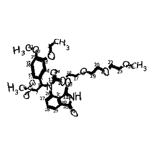 CCOc1cc(C(CS(C)(=O)=O)N(C(=O)OCCOCCOCCOC)c2cccc3c2C(=O)NC3=O)ccc1OC